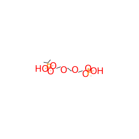 CC(C)P(=O)(O)OCCOCCOCCOP(C)(=O)O